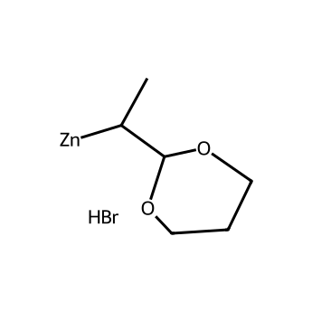 Br.C[CH]([Zn])C1OCCCO1